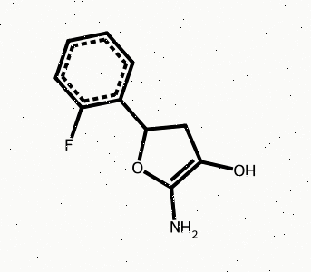 NC1=C(O)CC(c2ccccc2F)O1